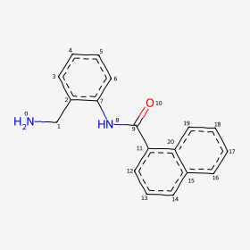 NCc1ccccc1NC(=O)c1cccc2ccccc12